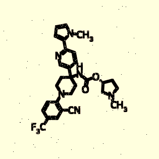 CN1CC[C@@H](OC(=O)NC2(c3ccc(-c4cccn4C)nc3)CCN(c3ccc(C(F)(F)F)cc3C#N)CC2)C1